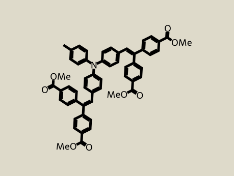 COC(=O)c1ccc(C(=Cc2ccc(N(c3ccc(C)cc3)c3ccc(C=C(c4ccc(C(=O)OC)cc4)c4ccc(C(=O)OC)cc4)cc3)cc2)c2ccc(C(=O)OC)cc2)cc1